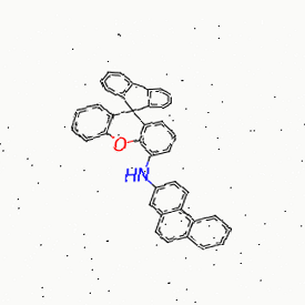 c1ccc2c(c1)Oc1c(Nc3ccc4c(ccc5ccccc54)c3)cccc1C21c2ccccc2-c2ccccc21